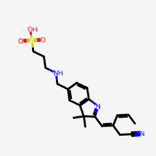 C/C=C\C(=C/C1=Nc2ccc(CNCCCS(=O)(=O)O)cc2C1(C)C)CC#N